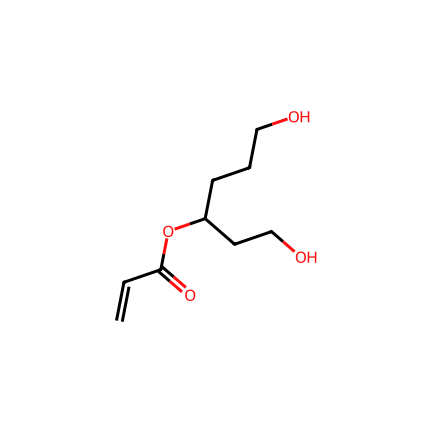 C=CC(=O)OC(CCO)CCCO